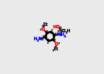 CCOc1cc(N)c(OCC)cc1N.O=S(=O)(O)O